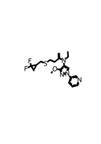 C=C(CCSCC1CC1(F)F)N(CC)c1cn(-c2cccnc2)nc1OC